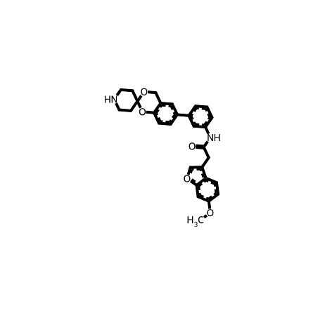 COc1ccc2c(CC(=O)Nc3cccc(-c4ccc5c(c4)COC4(CCNCC4)O5)c3)coc2c1